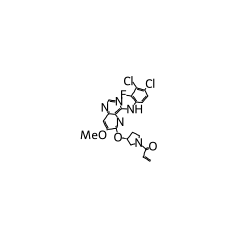 C=CC(=O)N1CC[C@H](Oc2nc3c(Nc4ccc(Cl)c(Cl)c4F)ncnc3cc2OC)C1